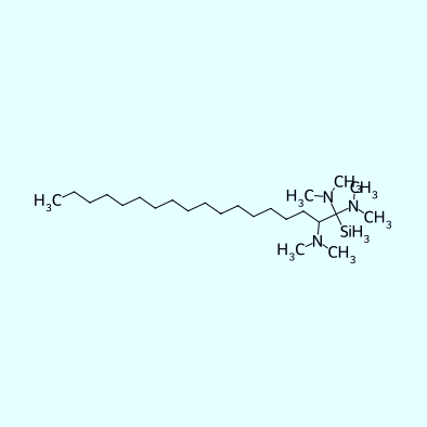 CCCCCCCCCCCCCCCCC(N(C)C)C([SiH3])(N(C)C)N(C)C